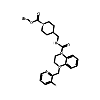 CC(C)(C)OC(=O)N1CCC(CNC(=O)N2CCN(Cc3ncccc3F)c3ccccc32)CC1